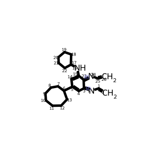 C=C/N=C1/C=C(C2CCCCCCC2)C=C(NC2CCCCC2)/C1=N/C=C